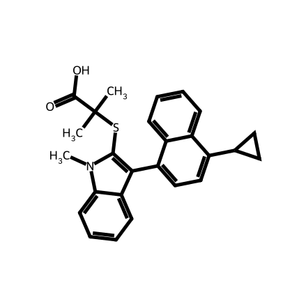 Cn1c(SC(C)(C)C(=O)O)c(-c2ccc(C3CC3)c3ccccc23)c2ccccc21